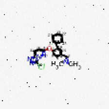 CN(C)Cc1ccc(Oc2ccc3nnc(Cl)n3n2)c(-c2ccccc2)c1